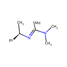 CS/C(=N\[C@H](C)C(C)C)N(C)C